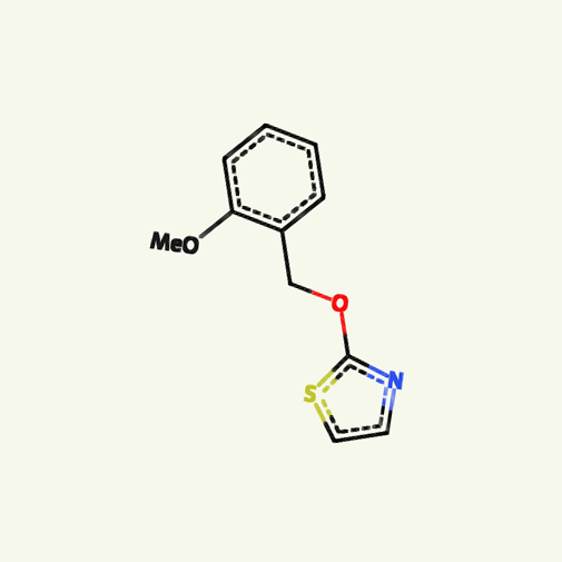 COc1ccccc1COc1nccs1